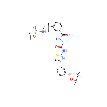 CC(C)(C)OC(=O)NCC(C)(C)c1cccc(C(=O)NCC(=O)Nc2nc(-c3cccc(B4OC(C)(C)C(C)(C)O4)c3)cs2)c1